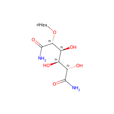 CCCCCCO[C@@H](C(N)=O)[C@@H](O)[C@H](O)[C@H](O)C(N)=O